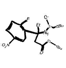 CCC(CC(=O)OC(C)(C)C)(N[S+]([O-])C(C)(C)C)c1cc([N+](=O)[O-])ccc1F